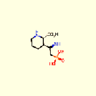 N=C(CP(=O)(O)O)[C@H]1CCCN[C@@H]1C(=O)O